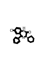 O=C1Nc2ccc(Cl)cc2C(c2ccccc2)=N[C@H]1C1CCCCC1